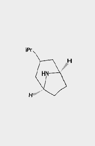 CC(C)C1C[C@H]2CC[C@@H](C1)N2